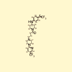 O=C(CCCN1CCN(c2ccc(C(F)(F)F)cn2)CC1)N1CCC(Nc2ccc(SC(F)(F)F)cc2)CC1